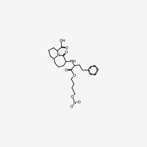 O=C(OCCCCO[N+](=O)[O-])C(CCc1ccccc1)NC1CCCN2CCCC(C(=O)O)N2C1=O